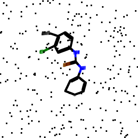 CSc1ccc(NC(=S)NC2=CC[CH]C=C2)cc1Cl